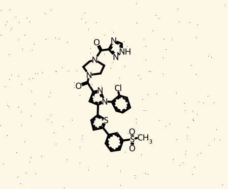 CS(=O)(=O)c1cccc(-c2ccc(-c3cc(C(=O)N4CCN(C(=O)c5nc[nH]n5)CC4)nn3-c3ccccc3Cl)s2)c1